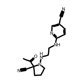 CC(=O)C1(C#N)CCCN1NCCNc1ccc(C#N)cn1